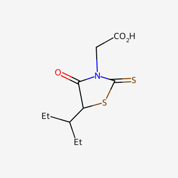 CCC(CC)C1SC(=S)N(CC(=O)O)C1=O